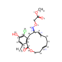 COC(=O)CO/N=C1\C=C\CC/C=C/CCOC(=O)c2c(C)cc(O)c(Cl)c2C1